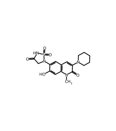 Cn1c(=O)c(N2CCCCC2)cc2cc(N3CC(=O)NS3(=O)=O)c(O)cc21